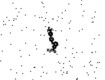 CC(=O)C1Cc2cccc(SN3CCN(c4ccc(C(F)(F)F)cc4)CC3)c2C1